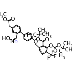 COC(=O)Cc1ccc(-c2ccc(OCc3ccc(C(F)(F)F)c(OC(=O)OC(C)(C)C)c3C(=O)OC(C)(C)C)cc2)c(/C=N\O)c1